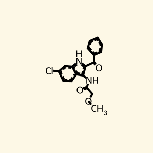 COCC(=O)Nc1c(C(=O)c2ccccc2)[nH]c2cc(Cl)ccc12